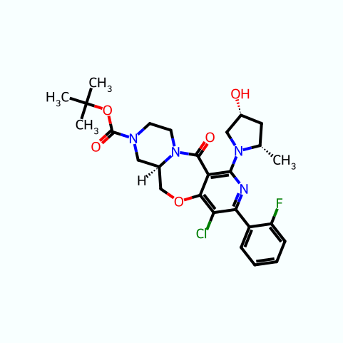 C[C@H]1C[C@@H](O)CN1c1nc(-c2ccccc2F)c(Cl)c2c1C(=O)N1CCN(C(=O)OC(C)(C)C)C[C@@H]1CO2